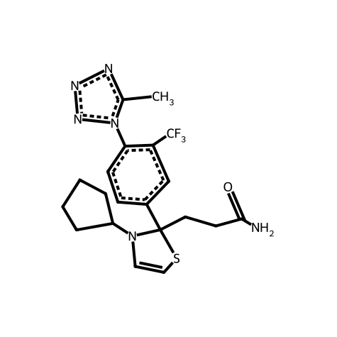 Cc1nnnn1-c1ccc(C2(CCC(N)=O)SC=CN2C2CCCC2)cc1C(F)(F)F